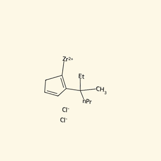 CCCC(C)(CC)C1=[C]([Zr+2])CC=C1.[Cl-].[Cl-]